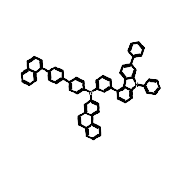 c1ccc(-c2ccc3c4c(-c5cccc(N(c6ccc(-c7ccc(-c8cccc9ccccc89)cc7)cc6)c6ccc7c(ccc8ccccc87)c6)c5)cccc4n(-c4ccccc4)c3c2)cc1